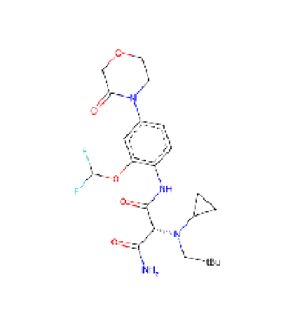 CC(C)(C)CN(C1CC1)[C@H](C(N)=O)C(=O)Nc1ccc(N2CCOCC2=O)cc1OC(F)F